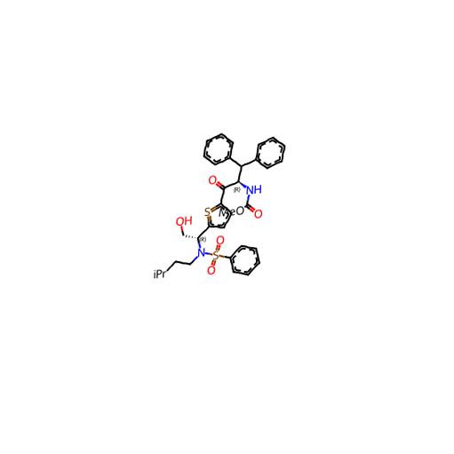 COC(=O)N[C@@H](C(=O)c1ccc([C@@H](CO)N(CCC(C)C)S(=O)(=O)c2ccccc2)s1)C(c1ccccc1)c1ccccc1